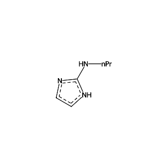 [CH2]CCNc1ncc[nH]1